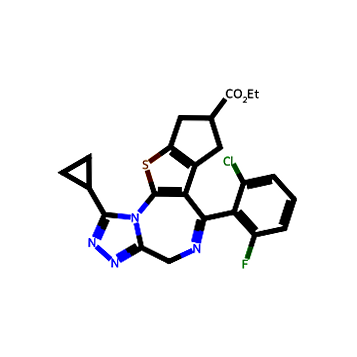 CCOC(=O)C1Cc2sc3c(c2C1)C(c1c(F)cccc1Cl)=NCc1nnc(C2CC2)n1-3